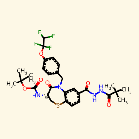 CC(C)(C)OC(=O)N[C@H]1CSc2ccc(C(=O)NNC(=O)C(C)(C)C)cc2N(Cc2ccc(OC(F)(F)C(F)F)cc2)C1=O